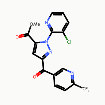 COC(=O)c1cc(C(=O)c2ccc(C(F)(F)F)nc2)nn1-c1ncccc1Cl